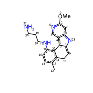 COc1cc2c(cn1)=C1C(=CCc3c(C)ccc(NCCCN)c31)N=2